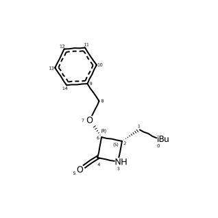 CCC(C)C[C@@H]1NC(=O)[C@@H]1OCc1ccccc1